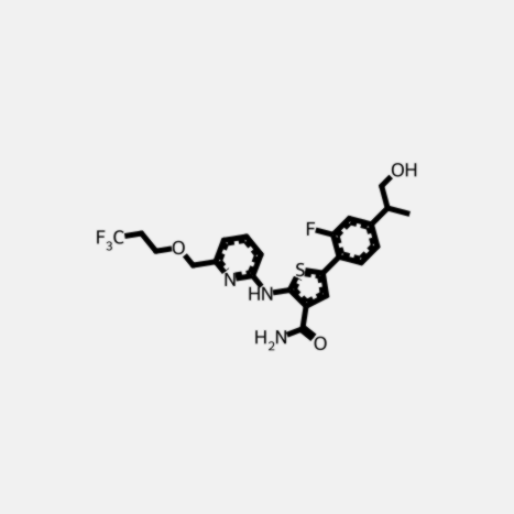 CC(CO)c1ccc(-c2cc(C(N)=O)c(Nc3cccc(COCCC(F)(F)F)n3)s2)c(F)c1